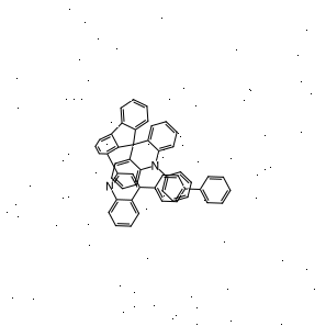 c1ccc(-c2ccc(-c3cc(-c4cccc5c4C4(c6ccccc6-5)c5ccccc5N(c5ccccc5)c5ccccc54)nc4ccccc34)cc2)cc1